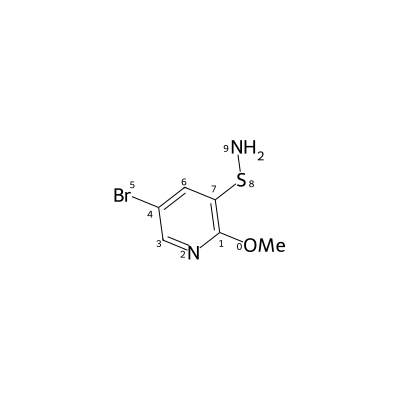 COc1ncc(Br)cc1SN